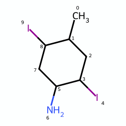 CC1CC(I)C(N)CC1I